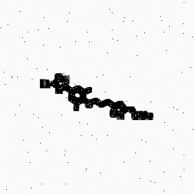 CCc1nc(-c2cc(C)c(OCCCc3cc(COC)no3)c(C)c2)no1